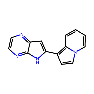 c1ccn2ccc(-c3cc4nccnc4[nH]3)c2c1